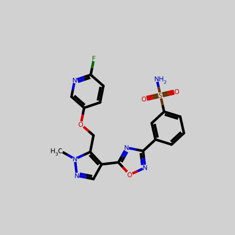 Cn1ncc(-c2nc(-c3cccc(S(N)(=O)=O)c3)no2)c1COc1ccc(F)nc1